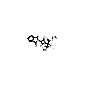 COC(=O)C(Cl)(N1CC(N2C(=O)c3ccccc3C2=O)C1=O)C(C)(C)S